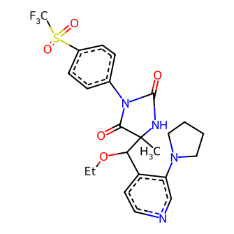 CCOC(c1ccncc1N1CCCC1)C1(C)NC(=O)N(c2ccc(S(=O)(=O)C(F)(F)F)cc2)C1=O